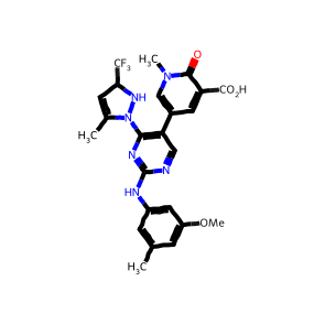 COc1cc(C)cc(Nc2ncc(-c3cc(C(=O)O)c(=O)n(C)c3)c(N3NC(C(F)(F)F)C=C3C)n2)c1